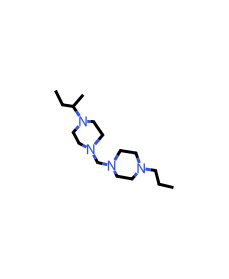 CCCN1CCN(CN2CCN(C(C)CC)CC2)CC1